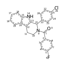 O=C(c1ccc(F)cc1)N1CCc2c([nH]c3ccccc23)C1c1ccc(Cl)cc1